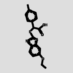 CCOc1ccc2nc(SC(C(=O)O)c3ccc(C)cc3)sc2c1